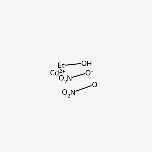 CCO.O=[N+]([O-])[O-].O=[N+]([O-])[O-].[Cd+2]